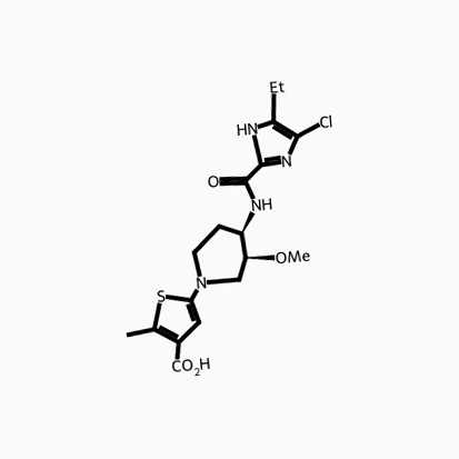 CCc1[nH]c(C(=O)N[C@@H]2CCN(c3cc(C(=O)O)c(C)s3)C[C@@H]2OC)nc1Cl